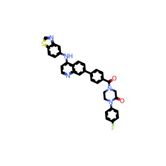 O=C(c1ccc(-c2ccc3c(Nc4ccc5scnc5c4)ccnc3c2)cc1)N1CCN(c2ccc(F)cc2)C(=O)C1